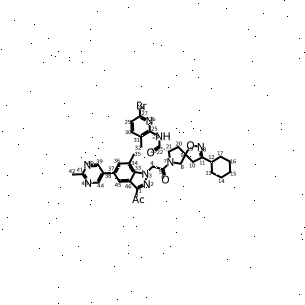 CC(=O)c1nn(CC(=O)N2CC3(CC(C4CCCCC4)=NO3)C[C@H]2C(=O)Nc2nc(Br)ccc2C)c2c(C)cc(-c3cnc(C)nc3)cc12